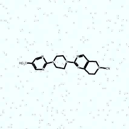 N#CB1CCc2nc(N3CCN(c4ncc(C(=O)O)cn4)CC3)ncc2C1